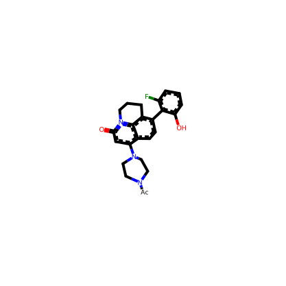 CC(=O)N1CCN(c2cc(=O)n3c4c(c(-c5c(O)cccc5F)ccc24)CCC3)CC1